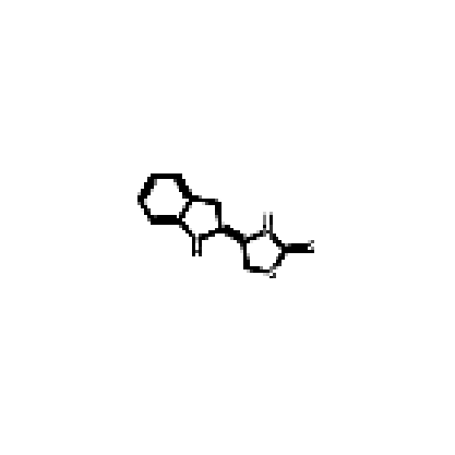 S=C1NC(=C2Cc3ccccc3N2)CS1